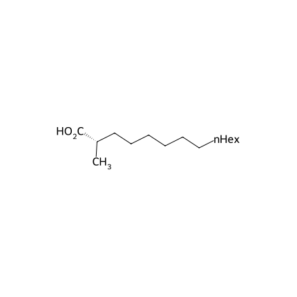 CCCCCCCCCCCC[C@H](C)C(=O)O